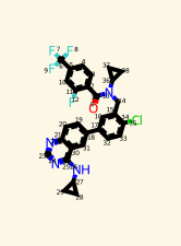 O=C(c1ccc(C(F)(F)F)cc1F)N(Cc1cc(-c2ccc3ncnc(NC4CC4)c3c2)ccc1Cl)C1CC1